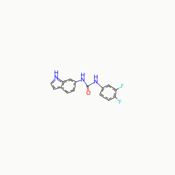 O=C(Nc1ccc(F)c(F)c1)Nc1ccc2cc[nH]c2c1